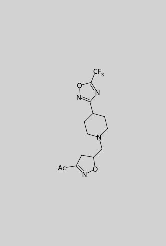 CC(=O)C1=NOC(CN2CCC(c3noc(C(F)(F)F)n3)CC2)C1